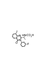 CC(NC(=O)O)c1nc2c(I)cccc2c(=O)n1-c1cccc(F)c1